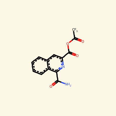 NC(=O)c1nc(C(=O)OC(=O)C(F)(F)F)cc2ccccc12